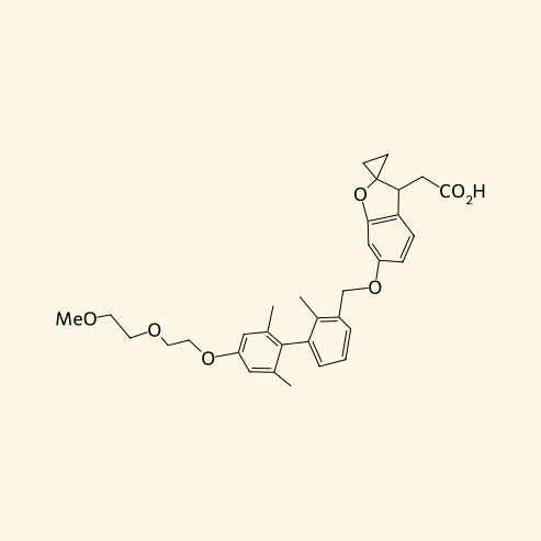 COCCOCCOc1cc(C)c(-c2cccc(COc3ccc4c(c3)OC3(CC3)C4CC(=O)O)c2C)c(C)c1